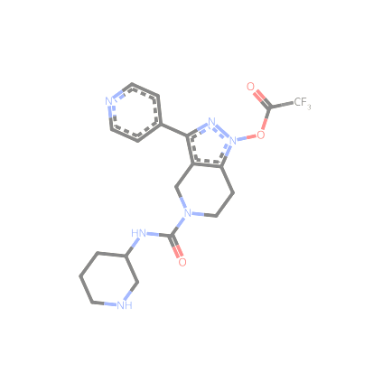 O=C(NC1CCCNC1)N1CCc2c(c(-c3ccncc3)nn2OC(=O)C(F)(F)F)C1